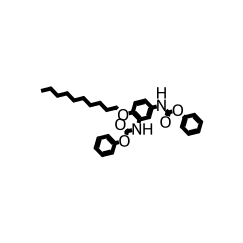 CCCCCCCCCCOc1ccc(NC(=O)Oc2ccccc2)cc1NC(=O)Oc1ccccc1